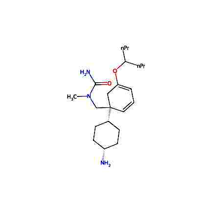 CCCC(CCC)OC1=CC=CC(CN(C)C(N)=O)([C@H]2CC[C@@H](N)CC2)C1